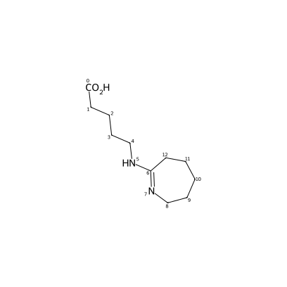 O=C(O)CCCCNC1=NCCCCC1